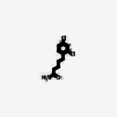 NC(=O)CCCCc1ccc(Cl)cc1Cl